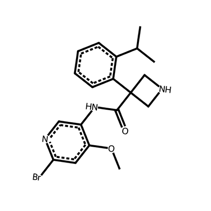 COc1cc(Br)ncc1NC(=O)C1(c2ccccc2C(C)C)CNC1